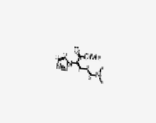 COC(=O)/C(=C\CCN(C)C)n1ccnn1